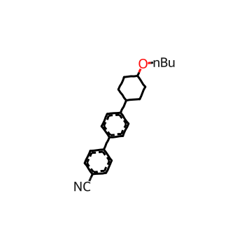 CCCCOC1CCC(c2ccc(-c3ccc(C#N)cc3)cc2)CC1